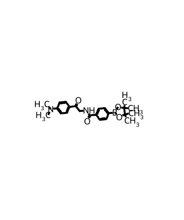 CN(C)c1ccc(C(=O)CNC(=O)c2ccc(B3OC(C)(C)C(C)(C)O3)cc2)cc1